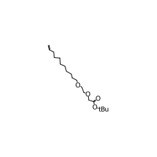 C=CCCCCCCCCCOCCOCC(=O)OC(C)(C)C